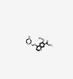 CC(C)Oc1cc2c(OC[C@H]3CNCCO3)ccnc2cc1C(N)=O